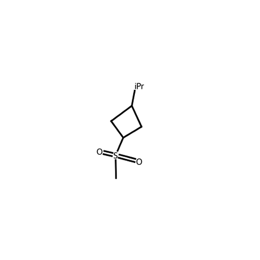 CC(C)C1CC(S(C)(=O)=O)C1